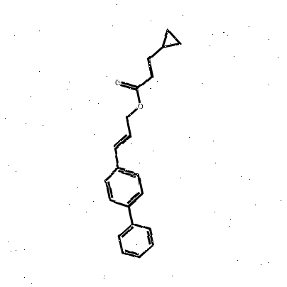 O=C(CCC1CC1)OC/C=C/c1ccc(-c2ccccc2)cc1